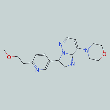 COCCc1ccc(C2CN=C3C(N4CCOCC4)=CC=NN32)cn1